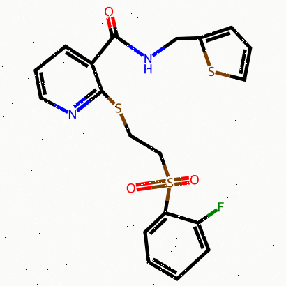 O=C(NCc1cccs1)c1cccnc1SCCS(=O)(=O)c1ccccc1F